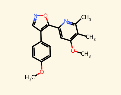 COc1ccc(-c2cnoc2-c2cc(OC)c(C)c(C)n2)cc1